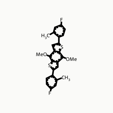 COc1c2cc(-c3ccc(F)cc3C)sc2c(OC)c2cc(-c3ccc(F)cc3C)sc12